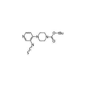 CC(C)(C)OC(=O)N1CCN(c2ccncc2N=C=S)CC1